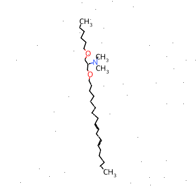 CCCCCC=CCC=CCCCCCCCCOCC(COCCCCCC)N(C)C